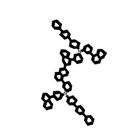 c1ccc(-c2ccc(-c3ccc(N(c4ccc(-c5cccc6ccccc56)cc4)c4cccc(-c5cccc6cc(-c7cc(-c8cccc(N(c9ccc(-c%10ccc(-c%11ccccc%11)cc%10)cc9)c9cccc(-c%10cccc%11ccccc%10%11)c9)c8)c8ccccc8c7)ccc56)c4)cc3)cc2)cc1